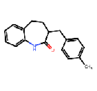 Cc1ccc(CC2CCc3ccccc3NC2=O)cc1